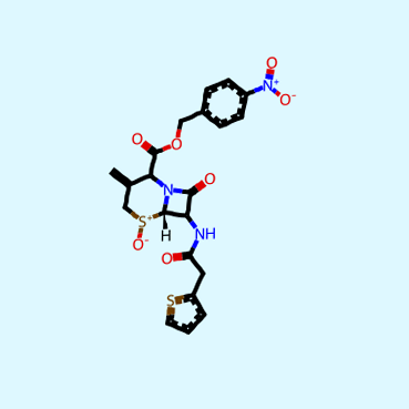 C=C1C[S+]([O-])[C@H]2C(NC(=O)Cc3cccs3)C(=O)N2C1C(=O)OCc1ccc([N+](=O)[O-])cc1